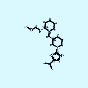 CC(C)c1cnc(N2CCC[C@H](CN3CCCC[C@H]3CCOI)C2)s1